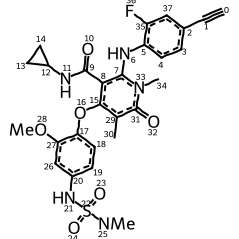 C#Cc1ccc(Nc2c(C(=O)NC3CC3)c(Oc3ccc(NS(=O)(=O)NC)cc3OC)c(C)c(=O)n2C)c(F)c1